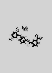 Br.Br.COc1ccc(OC)c(C[N+]23CCC(CC2)C(OC(=O)c2cccc(C(=O)[O-])c2)C3)c1